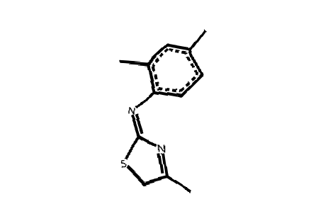 CC1=NC(=Nc2ccc(C)cc2C)SC1